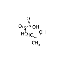 CC(O)CO.O=S(O)S(=O)O